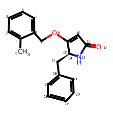 Cc1ccccc1COC1=CC(=O)N[C@H]1Cc1ccccc1